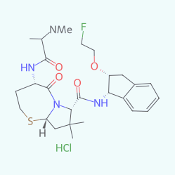 CNC(C)C(=O)N[C@H]1CCS[C@H]2CC(C)(C)[C@@H](C(=O)N[C@H]3c4ccccc4C[C@H]3OCCF)N2C1=O.Cl